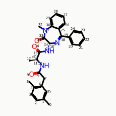 Cc1ccc(C)c(CC(=O)N[C@@H](C)C(=O)N[C@H]2N=C(c3ccccc3)c3ccccc3N(C)C2=O)c1